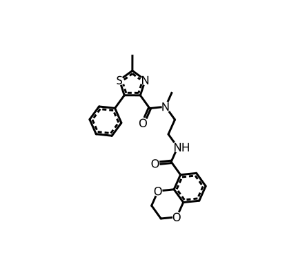 Cc1nc(C(=O)N(C)CCNC(=O)c2cccc3c2OCCO3)c(-c2ccccc2)s1